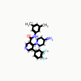 Cc1cc(C)cc(NC(=O)c2cncc(-c3ccc(F)c(F)c3)c2N2CCC(N)CC2)c1